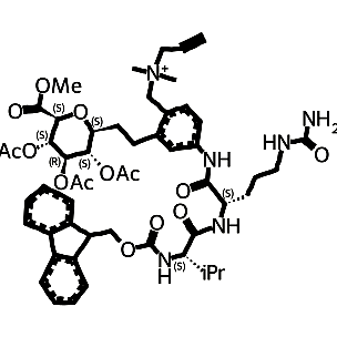 C#CC[N+](C)(C)Cc1ccc(NC(=O)[C@H](CCCNC(N)=O)NC(=O)[C@@H](NC(=O)OCC2c3ccccc3-c3ccccc32)C(C)C)cc1CC[C@@H]1O[C@H](C(=O)OC)[C@@H](OC(C)=O)[C@H](OC(C)=O)[C@H]1OC(C)=O